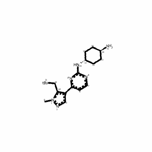 Cn1ncc(-c2ccnc(N[C@H]3CC[C@H](N)CC3)n2)c1CC(C)(C)C